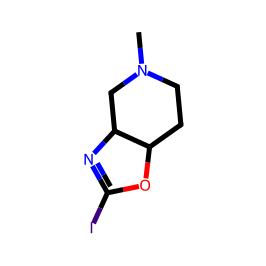 CN1CCC2OC(I)=NC2C1